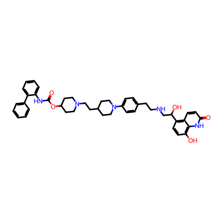 O=C(Nc1ccccc1-c1ccccc1)OC1CCN(CCC2CCN(c3ccc(CCNCC(O)c4ccc(O)c5[nH]c(=O)ccc45)cc3)CC2)CC1